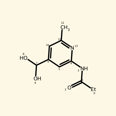 CCC(=O)Nc1cc(C(O)O)cc(C)n1